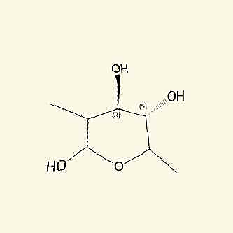 CC1OC(O)C(C)[C@@H](O)[C@@H]1O